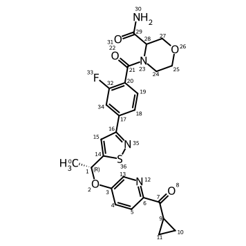 C[C@@H](Oc1ccc(C(=O)C2CC2)nc1)c1cc(-c2ccc(C(=O)N3CCOCC3C(N)=O)c(F)c2)ns1